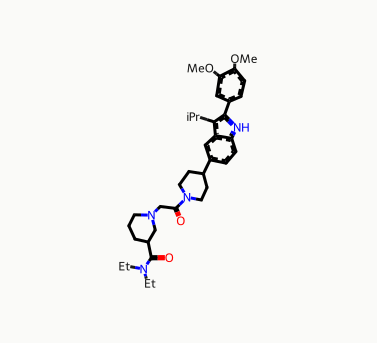 CCN(CC)C(=O)C1CCCN(CC(=O)N2CCC(c3ccc4[nH]c(-c5ccc(OC)c(OC)c5)c(C(C)C)c4c3)CC2)C1